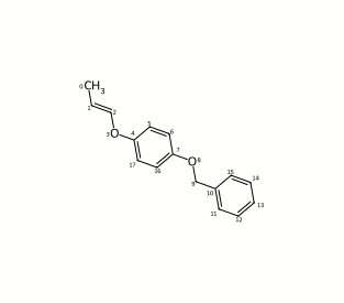 CC=COc1ccc(OCc2ccccc2)cc1